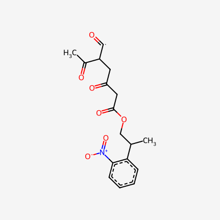 CC(=O)C([C]=O)CC(=O)CC(=O)OCC(C)c1ccccc1[N+](=O)[O-]